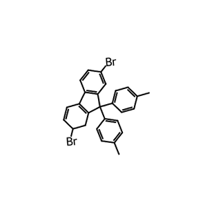 Cc1ccc(C2(c3ccc(C)cc3)C3=C(C=CC(Br)C3)c3ccc(Br)cc32)cc1